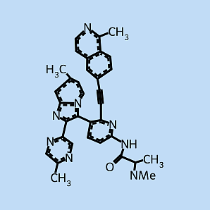 CNC(C)C(=O)Nc1ccc(-c2c(-c3cnc(C)cn3)nc3cc(C)ccn23)c(C#Cc2ccc3c(C)nccc3c2)n1